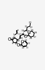 C=CC[C@H]1C(=O)C[C@@H](O[C@H]2C=CC=CO2)[C@@H]1C=C[C@H](CCCCC)OC1CCCCO1